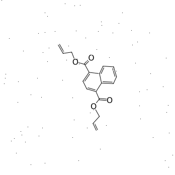 C=CCOC(=O)c1ccc(C(=O)OCC=C)c2ccccc12